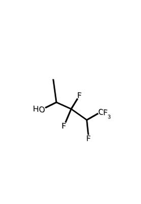 CC(O)C(F)(F)C(F)C(F)(F)F